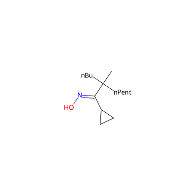 CCCCCC(C)(CCCC)/C(=N/O)C1CC1